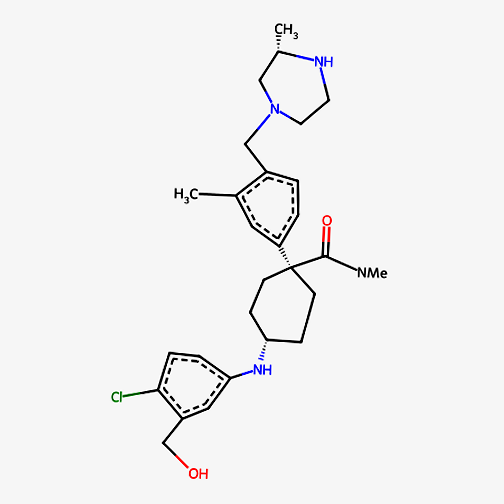 CNC(=O)[C@]1(c2ccc(CN3CCN[C@@H](C)C3)c(C)c2)CC[C@@H](Nc2ccc(Cl)c(CO)c2)CC1